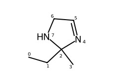 CCC1(C)N=CCN1